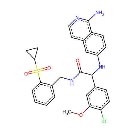 COc1cc(C(Nc2ccc3c(N)nccc3c2)C(=O)NCc2ccccc2S(=O)(=O)C2CC2)ccc1Cl